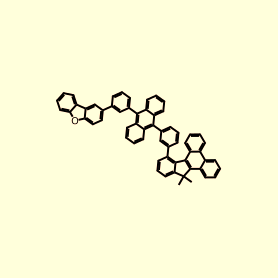 CC1(C)c2cccc(-c3cccc(-c4c5ccccc5c(-c5cccc(-c6ccc7oc8ccccc8c7c6)c5)c5ccccc45)c3)c2-c2c1c1ccccc1c1ccccc21